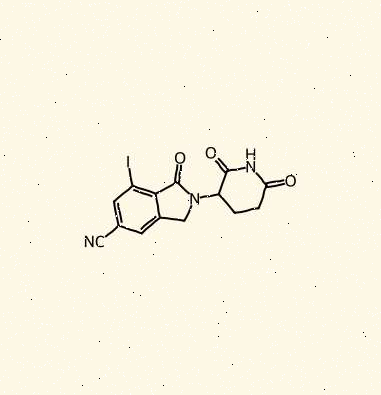 N#Cc1cc(I)c2c(c1)CN(C1CCC(=O)NC1=O)C2=O